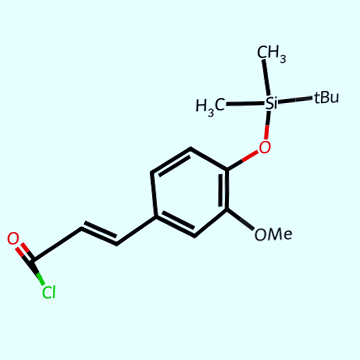 COc1cc(/C=C/C(=O)Cl)ccc1O[Si](C)(C)C(C)(C)C